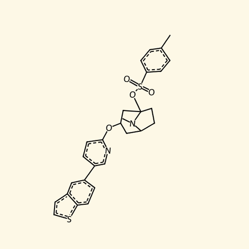 Cc1ccc(S(=O)(=O)OC23CCC(CC(Oc4ccc(-c5ccc6sccc6c5)cn4)C2)N3C)cc1